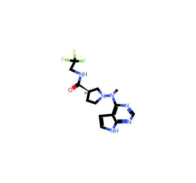 CN(c1ncnc2[nH]ccc12)N1CC[C@@H](C(=O)NCC(F)(F)F)C1